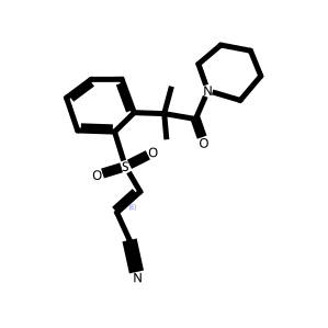 CC(C)(C(=O)N1CCCCC1)c1ccccc1S(=O)(=O)/C=C/C#N